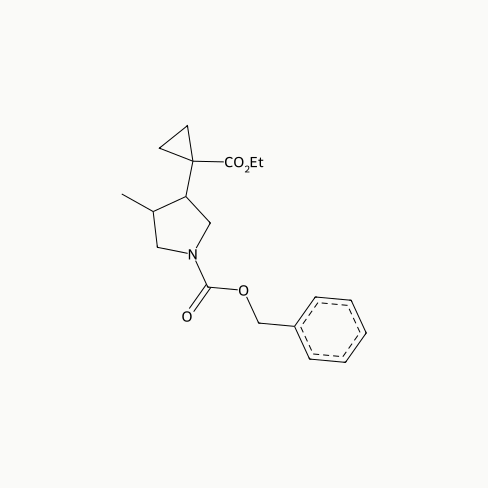 CCOC(=O)C1(C2CN(C(=O)OCc3ccccc3)CC2C)CC1